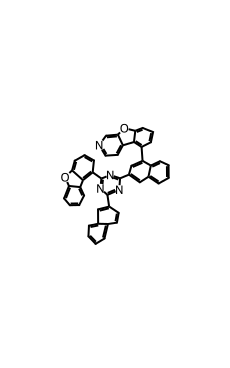 c1ccc2cc(-c3nc(-c4cc(-c5cccc6oc7cnccc7c56)c5ccccc5c4)nc(-c4cccc5oc6ccccc6c45)n3)ccc2c1